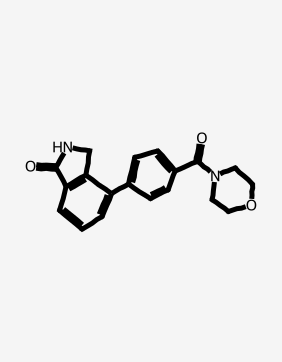 O=C1NCc2c1cccc2-c1ccc(C(=O)N2CCOCC2)cc1